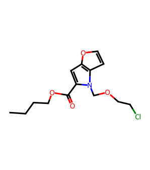 CCCCOC(=O)c1cc2occc2n1COCCCl